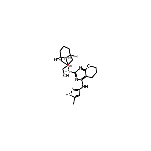 Cc1cc(Nc2nc(N[C@@H]3C[C@H]4CCC[C@@H](C3)N4CCC#N)nc3c2CCCO3)n[nH]1